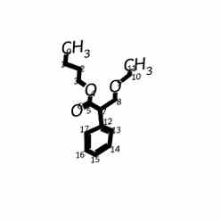 CCCCOC(=O)C(COCC)c1ccccc1